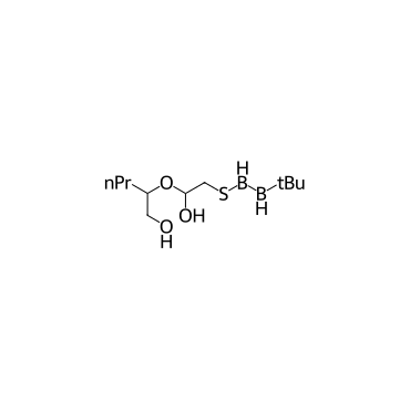 CCCC(CO)OC(O)CSBBC(C)(C)C